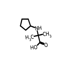 CC(C)(NC1CCCC1)C(=O)O